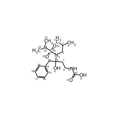 CC(C)CN(C(O)(CCNC(=O)O)Cc1ccccc1)S(=O)(=O)N(C)C